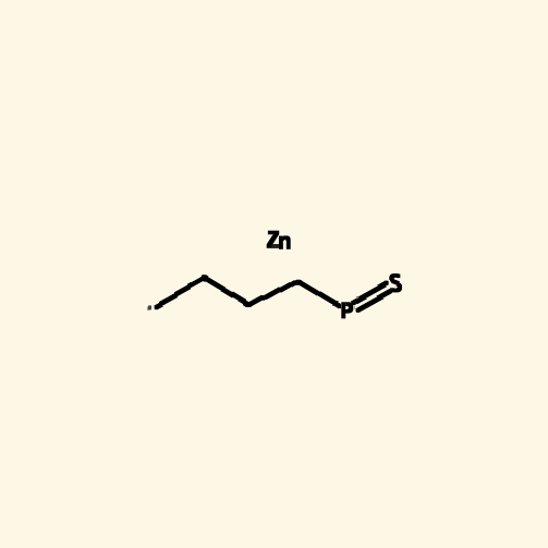 [CH2]CCCP=S.[Zn]